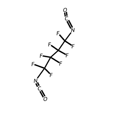 O=C=NC(F)(F)C(F)(F)C(F)(F)C(F)(F)N=C=O